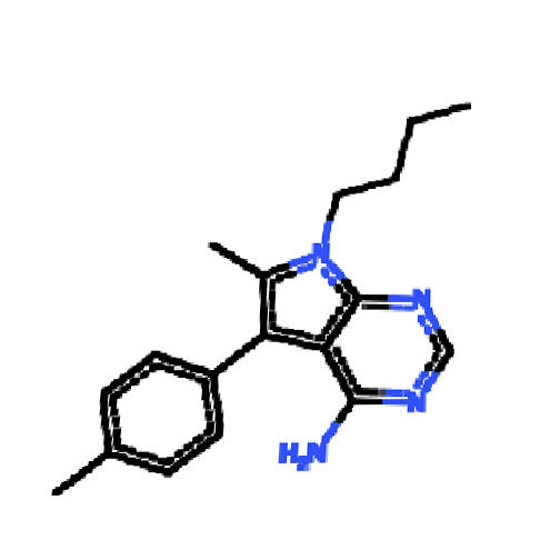 CCCCn1c(C)c(-c2ccc(C)cc2)c2c(N)ncnc21